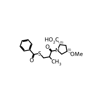 CO[C@H]1C[C@@H](C(=O)O)N(C(=O)C(C)CSC(=O)c2ccccc2)C1